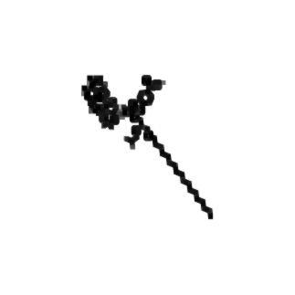 CCCCCCCCCCCCCCCCCCOC[C@H](COP(=O)(OC[C@H]1O[C@@](C#N)(c2ccc3c(N)ncnn23)[C@@H]2OC(C)(C)O[C@@H]21)Oc1ccc([N+](=O)[O-])cc1)OCC(C)C